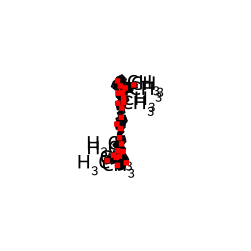 CC(C)(C)c1ccc(N(c2ccc3c(c2)C(C)(C)c2cc(/C=C/c4ccc5cc(/C=C/c6ccc7c(c6)C(C)(C)c6cc(N(c8ccc(C(C)(C)C)cc8)c8cccc9ccccc89)ccc6-7)ccc5c4)ccc2-3)c2cccc3ccccc23)cc1